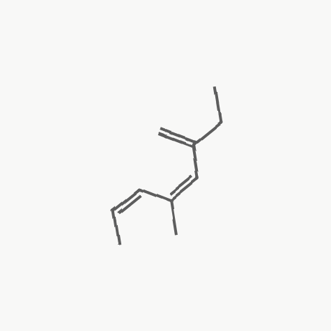 C=C(/C=C(C)\C=C/C)CC